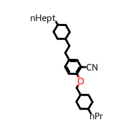 CCCCCCCC1CCC(CCc2ccc(OCC3CCC(CCC)CC3)c(C#N)c2)CC1